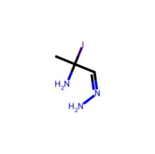 CC(N)(I)/C=N\N